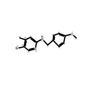 COc1ccc(CNc2cc(C)c(Br)cn2)cc1